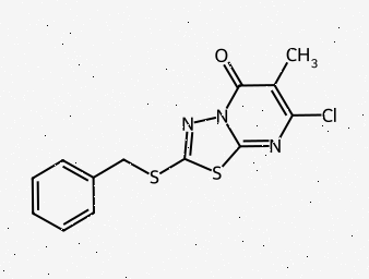 Cc1c(Cl)nc2sc(SCc3ccccc3)nn2c1=O